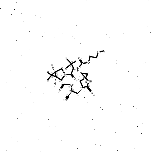 COCCOC(=O)N[C@H](C(=O)N1C[C@H]2[C@@H]([C@H]1C(=O)N[C@H](C#N)C[C@@H]1CC3(CC3)NC1=O)C2(C)C)C(C)(C)C